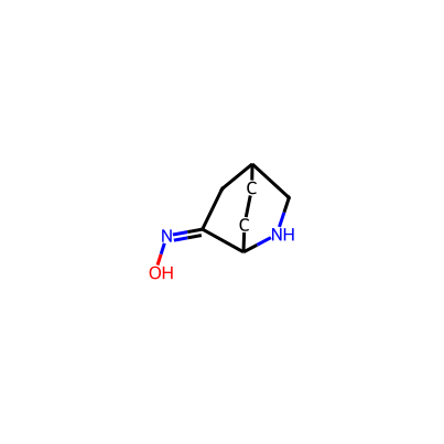 O/N=C1/CC2CCC1NC2